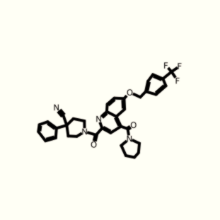 N#CC1(c2ccccc2)CCN(C(=O)c2cc(C(=O)N3CCCCC3)c3cc(OCc4ccc(C(F)(F)F)cc4)ccc3n2)CC1